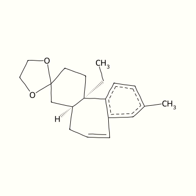 CC[C@@]12CCC3(C[C@@H]1CC=Cc1cc(C)ccc12)OCCO3